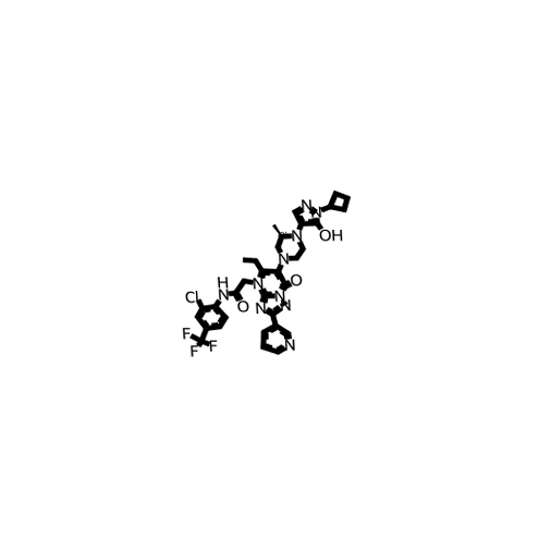 CCc1c(N2CCN(c3cnn(C4CCC4)c3O)[C@H](C)C2)c(=O)n2nc(-c3cccnc3)nc2n1CC(=O)Nc1ccc(C(F)(F)F)cc1Cl